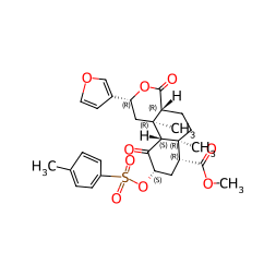 COC(=O)[C@@H]1C[C@H](OS(=O)(=O)c2ccc(C)cc2)C(=O)[C@H]2[C@@]1(C)CC[C@H]1C(=O)O[C@@H](c3ccoc3)C[C@]21C